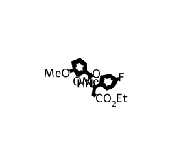 CCOC(=O)CC(NC(=O)c1cccc(OC)c1OC)c1ccc(F)cc1